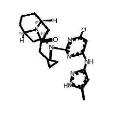 Cc1cc(Nc2cc(Cl)nc(N(C)[C@H]3C[C@H]4CCC[C@@H](C3)N4C(=O)CC3CC3)n2)n[nH]1